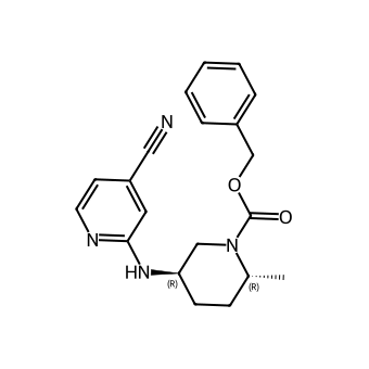 C[C@@H]1CC[C@@H](Nc2cc(C#N)ccn2)CN1C(=O)OCc1ccccc1